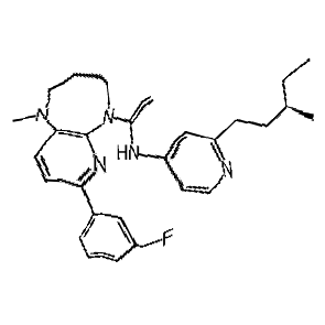 C=C(Nc1ccnc(CC[C@H](C)CC)c1)N1CCCN(C)c2ccc(-c3cccc(F)c3)nc21